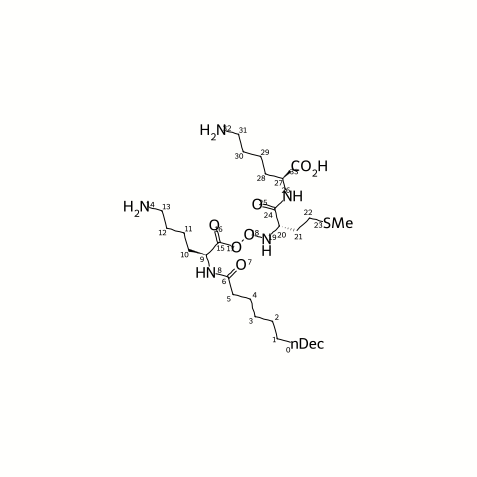 CCCCCCCCCCCCCCCC(=O)N[C@@H](CCCCN)C(=O)OON[C@@H](CCSC)C(=O)N[C@@H](CCCCN)C(=O)O